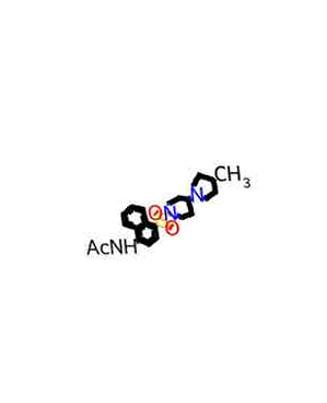 CC(=O)Nc1ccc(S(=O)(=O)N2CCC(N3CCC(C)CC3)CC2)c2ccccc12